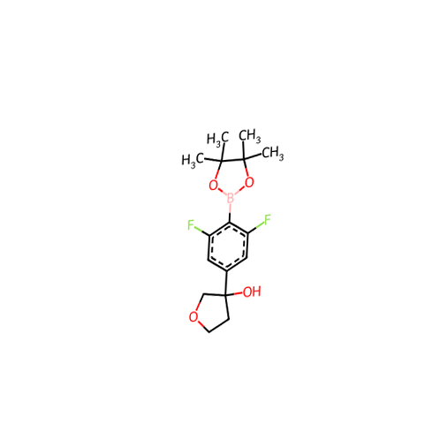 CC1(C)OB(c2c(F)cc(C3(O)CCOC3)cc2F)OC1(C)C